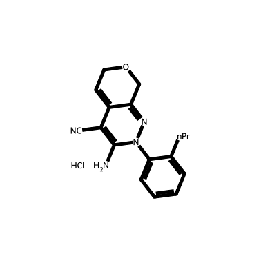 CCCc1ccccc1N1N=C2COCC=C2C(C#N)=C1N.Cl